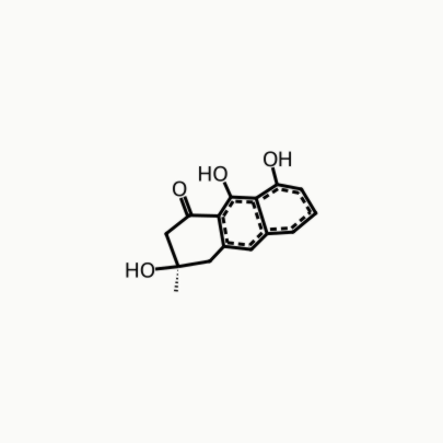 C[C@]1(O)CC(=O)c2c(cc3cccc(O)c3c2O)C1